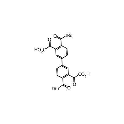 CC(C)(C)C(=O)c1ccc(-c2ccc(C(=O)C(C)(C)C)c(C(=O)C(=O)O)c2)cc1C(=O)C(=O)O